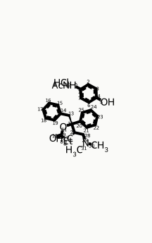 CC(=O)Nc1ccc(O)cc1.CCC(=O)O[C@](Cc1ccccc1)(c1ccccc1)[C@H](C)CN(C)C.Cl